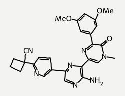 COc1cc(OC)cc(-c2nc(-c3nc(-c4ccc(C5(C#N)CCC5)nc4)cnc3N)cn(C)c2=O)c1